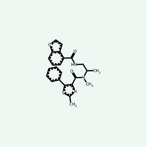 Cc1nc(C(=O)N(C)C(C)CNC(=O)c2cccc3occc23)c(-c2ccccc2)s1